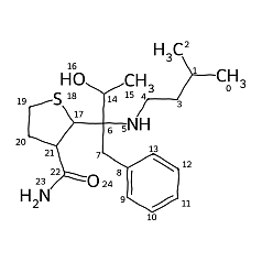 CC(C)CCNC(Cc1ccccc1)(C(C)O)C1SCCC1C(N)=O